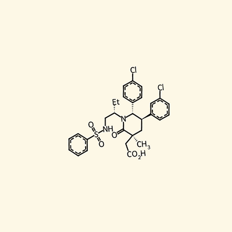 CC[C@@H](CNS(=O)(=O)c1ccccc1)N1C(=O)[C@](C)(CC(=O)O)C[C@H](c2cccc(Cl)c2)[C@H]1c1ccc(Cl)cc1